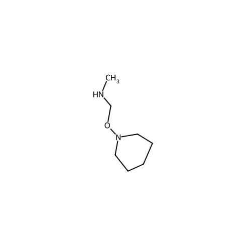 CNCON1CCCCC1